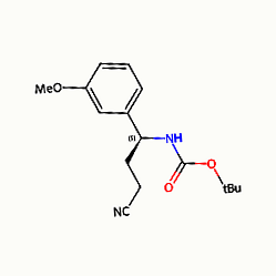 COc1cccc([C@H](CCC#N)NC(=O)OC(C)(C)C)c1